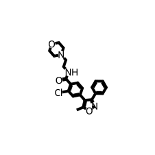 Cc1onc(-c2ccccc2)c1-c1ccc(C(=O)NCCN2CCOCC2)c(Cl)c1